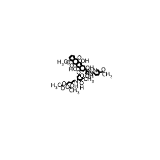 COc1cccc2c1C(=O)c1c(O)c3c(c(O)c1C2=O)C[C@@](O)(/C(CO)=N/Nc1ccc(C(C)=O)cn1)C[C@@H]3OC1CC(NCCCC(OC(C)=O)OC(C)=O)C(O)C(C)O1